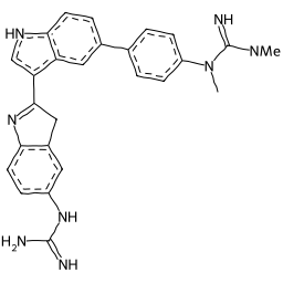 CNC(=N)N(C)c1ccc(-c2ccc3[nH]cc(C4=Nc5ccc(NC(=N)N)cc5C4)c3c2)cc1